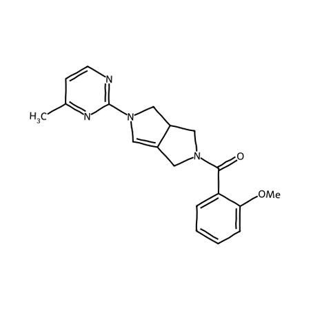 COc1ccccc1C(=O)N1CC2=CN(c3nccc(C)n3)CC2C1